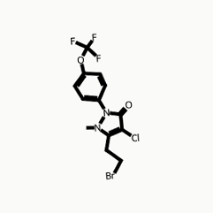 Cn1c(CCBr)c(Cl)c(=O)n1-c1ccc(OC(F)(F)F)cc1